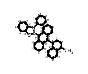 Cc1ccc(-c2c3ccccc3c(B3Sc4ccccc4N3c3ccccc3)c3ccccc23)c2ccccc12